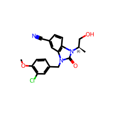 COc1ccc(Cn2c(=O)n([C@H](C)CO)c3ccc(C#N)cc32)cc1Cl